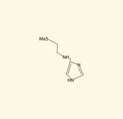 CSCCN.c1c[nH]cn1